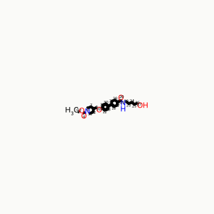 CCOC(=O)N1CCC(COc2ccc(C3=CCC(C(=O)NCCCCCO)CC3)cc2)CC1